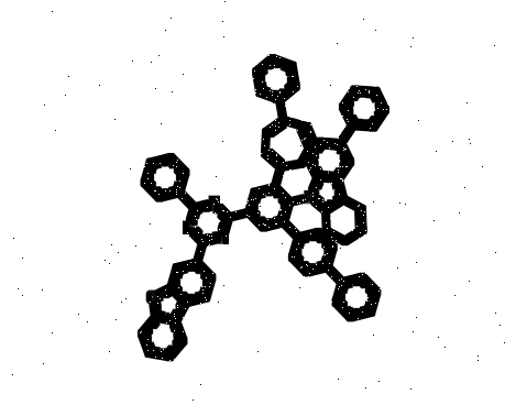 C1#CC(c2ccccc2)=CC=C(c2cc(-c3nc(-c4ccccc4)nc(-c4ccc5c(c4)oc4ccccc45)n3)cc(-c3ccc(-c4ccccc4)cc3)c2-n2c3c(c4cc(-c5ccccc5)ccc42)C=CCC3)C1